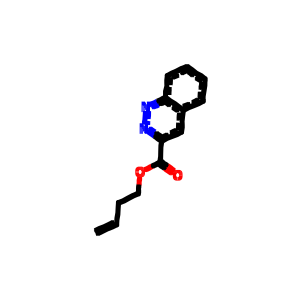 C=CCCOC(=O)c1cc2ccccc2nn1